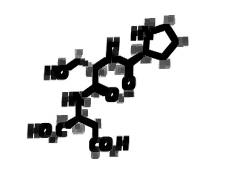 O=C(O)C[C@H](NC(=O)[C@H](CO)NC(=O)[C@@H]1CCCN1)C(=O)O